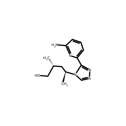 C[C@@H](CO)C[C@H](C)n1cnnc1-c1cccc(N)n1